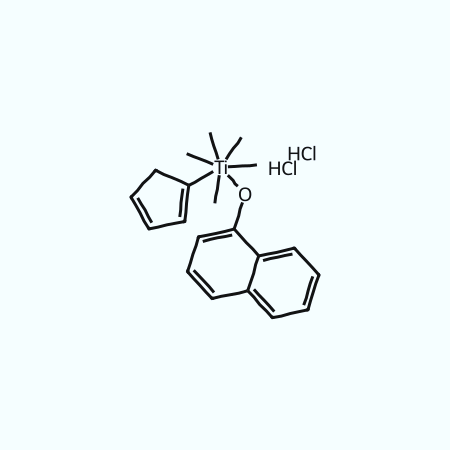 Cl.Cl.[CH3][Ti]([CH3])([CH3])([CH3])([CH3])([O]c1cccc2ccccc12)[C]1=CC=CC1